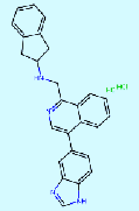 Cl.Cl.c1ccc2c(c1)CC(NCc1ncc(-c3ccc4[nH]cnc4c3)c3ccccc13)C2